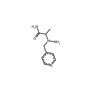 CC(C(N)=O)N(N)Cc1ccncc1